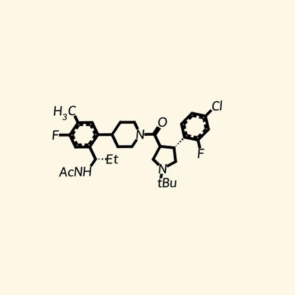 CC[C@H](NC(C)=O)c1cc(F)c(C)cc1C1CCN(C(=O)C2CN(C(C)(C)C)C[C@H]2c2ccc(Cl)cc2F)CC1